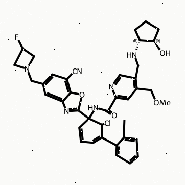 COCc1cc(C(=O)NC2(c3nc4cc(CN5CC(F)C5)cc(C#N)c4o3)C=CC=C(c3ccccc3C)C2Cl)ncc1CN[C@@H]1CCC[C@H]1O